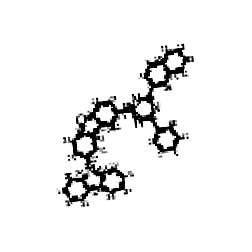 c1ccc(-c2nc(-c3ccc4ccccc4c3)nc(-c3ccc4oc5ccc(-n6c7ccccc7c7ccccc76)cc5c4c3)n2)cc1